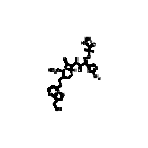 CC(C)(ON=C(C(=O)NC1C(=O)N2C(C(=O)O)=C(CSc3ccnc4c(CO)cnn34)CS[C@@H]12)c1csc(N)n1)C(=O)NN